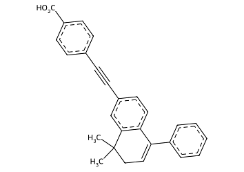 CC1(C)CC=C(c2ccccc2)c2ccc(C#Cc3ccc(C(=O)O)cc3)cc21